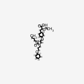 CCCCNC(=O)N(CCCOc1ccccc1)CCOc1ccc(CC(OCC)C(=O)O)cc1